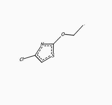 [CH2]COc1nc(Cl)cs1